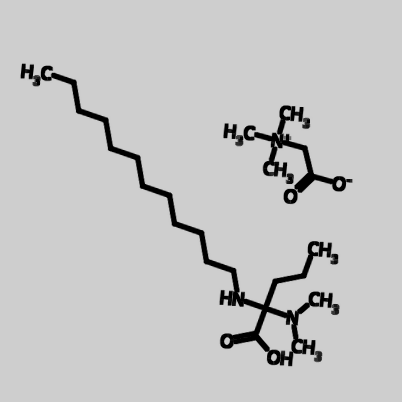 CCCCCCCCCCCCNC(CCC)(C(=O)O)N(C)C.C[N+](C)(C)CC(=O)[O-]